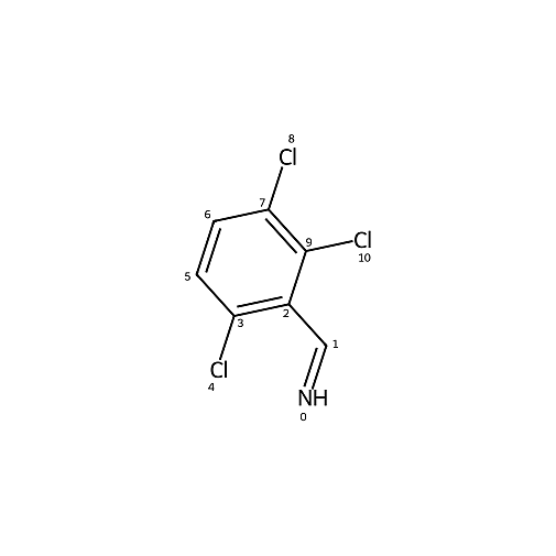 N=Cc1c(Cl)ccc(Cl)c1Cl